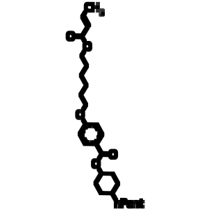 C/C=C/C(=O)OCCCCCCOc1ccc(C(=O)OC2CCC(CCCCC)CC2)cc1